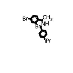 CC(C)c1ccc(CNC(C)c2ccc(Br)cc2Br)cc1